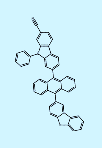 N#Cc1ccc2c3ccc(-c4c5ccccc5c(-c5ccc6oc7ccccc7c6c5)c5ccccc45)cc3n(-c3ccccc3)c2c1